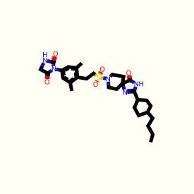 CCCCC1CCC(C2=NC3(CCN(S(=O)(=O)CCc4c(C)cc(N5C(=O)CNC5=O)cc4C)CC3)C(=O)N2)CC1